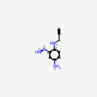 C#CCNc1ccc(N)cc1N=N